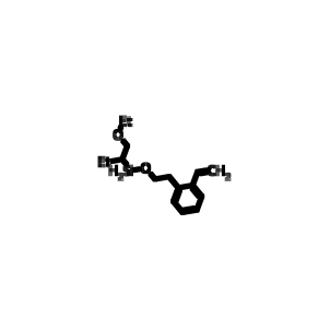 C=Cc1ccccc1CCO[SiH2]C(CC)COCC